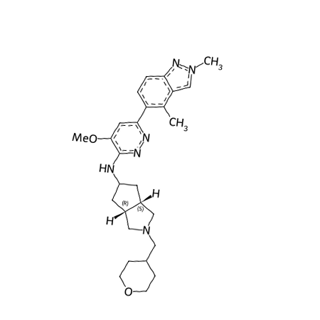 COc1cc(-c2ccc3nn(C)cc3c2C)nnc1NC1C[C@@H]2CN(CC3CCOCC3)C[C@@H]2C1